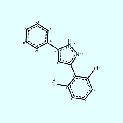 Clc1cccc(Br)c1-c1cc(-c2ccccc2)[nH]n1